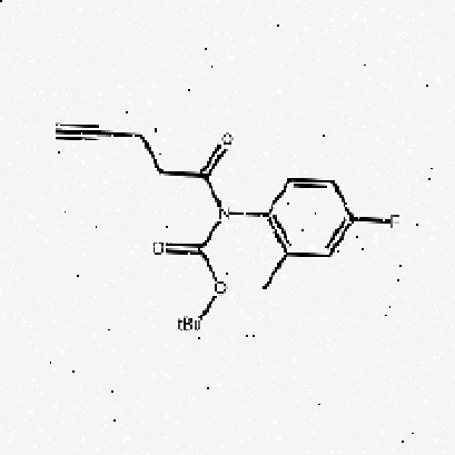 C#CCCC(=O)N(C(=O)OC(C)(C)C)c1ccc(F)cc1C